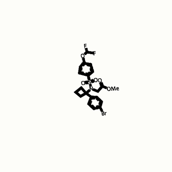 COC(=O)CN(C1(c2ccc(Br)cc2)CCC1)S(=O)(=O)c1ccc(OC(F)F)cc1